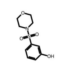 O=S(=O)(c1cccc(O)c1)N1CCOCC1